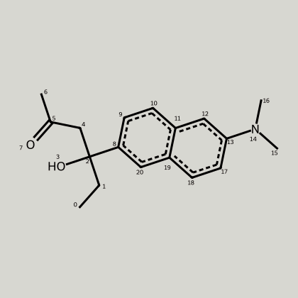 CCC(O)(CC(C)=O)c1ccc2cc(N(C)C)ccc2c1